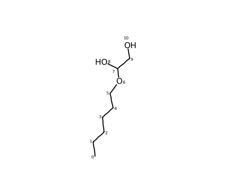 CCCCCCOC(O)CO